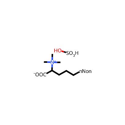 CCCCCCCCCCCCC(C(=O)[O-])[N+](C)(C)C.O=S(=O)(O)O